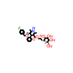 CC1=C(C(=O)OCCC[C@H]2S[C@@H](CO)[C@@H](O)[C@H](O)[C@H]2O)C(c2ccccc2OCc2ccc(F)cc2)C([N+](=O)[O-])=C(C)N1